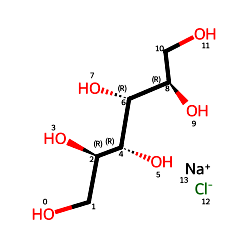 OC[C@@H](O)[C@@H](O)[C@H](O)[C@H](O)CO.[Cl-].[Na+]